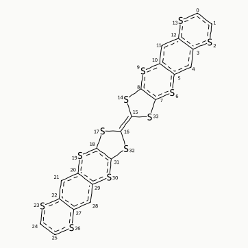 c1csc2cc3sc4c(sc3cc2s1)SC(=C1Sc2sc3cc5sccsc5cc3sc2S1)S4